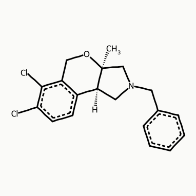 C[C@]12CN(Cc3ccccc3)C[C@H]1c1ccc(Cl)c(Cl)c1CO2